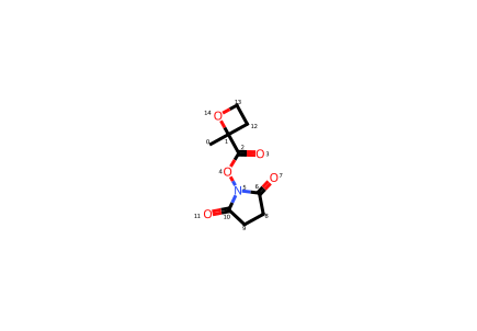 CC1(C(=O)ON2C(=O)CCC2=O)CCO1